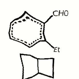 C1CC2CCC12.CCc1ccccc1C=O